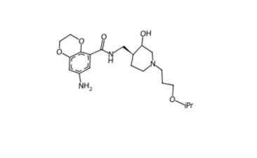 CC(C)OCCCN1CC[C@@H](CNC(=O)c2cc(N)cc3c2OCCO3)C(O)C1